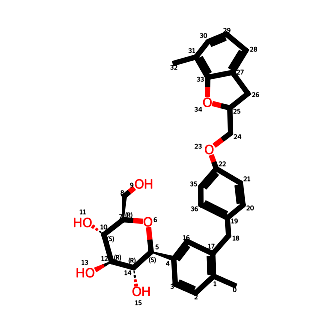 Cc1ccc([C@@H]2O[C@H](CO)[C@@H](O)[C@H](O)[C@H]2O)cc1Cc1ccc(OCC2Cc3cccc(C)c3O2)cc1